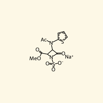 COC(=O)C1C(N(C(C)=O)c2cccs2)C(=O)N1S(=O)(=O)[O-].[Na+]